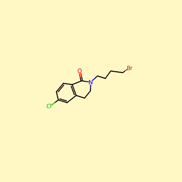 O=C1c2ccc(Cl)cc2CCN1CCCCBr